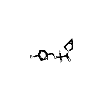 O=C(N1CC2CC2C1)C(F)(F)OCc1ccc(Br)cn1